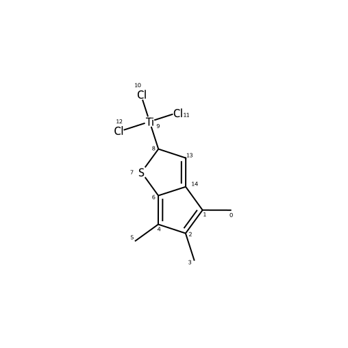 CC1=C(C)C(C)=C2S[CH]([Ti]([Cl])([Cl])[Cl])C=C12